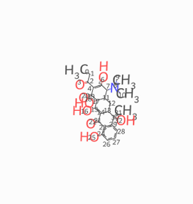 CCC(=O)C1=C(O)C(N(C)C)C2CC3C(=C(O)C2(O)C1=O)C(=O)c1c(O)cccc1C3(C)O